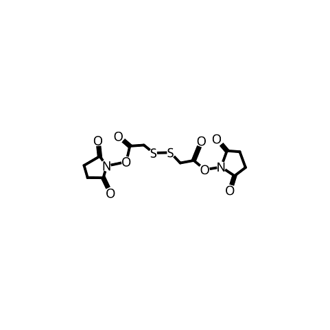 O=C(CSSCC(=O)ON1C(=O)CCC1=O)ON1C(=O)CCC1=O